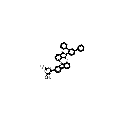 Cc1nc(C)nc(-c2ccc3c4ccccc4n(-c4cccc5c4C(=O)N(c4ccc(-c6ccccc6)cc4-c4ccccc4)C5=O)c3c2)n1